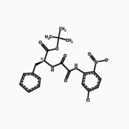 CC(C)(C)OC(=O)[C@H](Cc1ccccc1)NC(=O)C(=O)Nc1cc(Cl)ccc1[N+](=O)[O-]